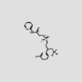 CC1(C)CC(CCS(=O)(=O)NCC(=O)Nc2ccccn2)c2cc(F)ccc2O1